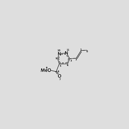 C/C=C/c1cc(C(=O)OC)cnn1